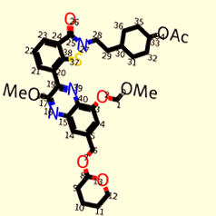 COCOc1cc(COC2CCCCO2)cc2nc(OC)c(-c3cccc4c(=O)n(CCC5CCC(OC(C)=O)CC5)sc34)nc12